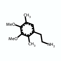 COc1c(C)cc(CCN)c(C)c1OC